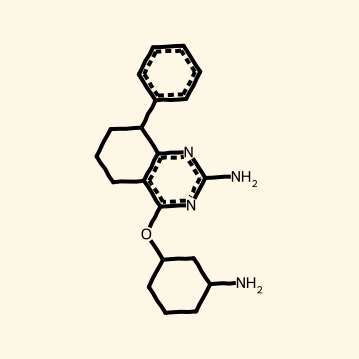 Nc1nc(OC2CCCC(N)C2)c2c(n1)C(c1ccccc1)CCC2